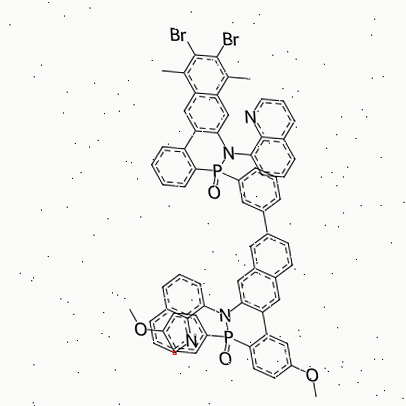 COc1ccc(P2(=O)c3ccc(OC)cc3-c3cc4ccc(-c5cccc(P6(=O)c7ccccc7-c7cc8c(C)c(Br)c(Br)c(C)c8cc7N6c6cccc7cccnc67)c5)cc4cc3N2c2cccc3cccnc23)cc1